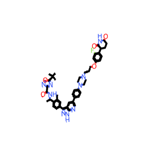 Cc1cc(-c2n[nH]c3ncc(-c4ccc(N5CCN(CCCOc6ccc(C7CCC(=O)NC7=O)c(F)c6)CC5)cc4)cc23)ccc1C(C)NC(=O)c1noc(C(C)(C)C)n1